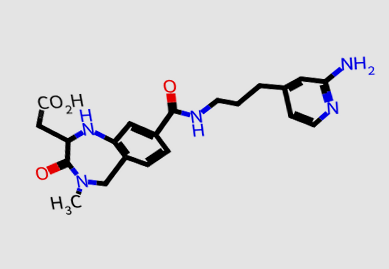 CN1Cc2ccc(C(=O)NCCCc3ccnc(N)c3)cc2NC(CC(=O)O)C1=O